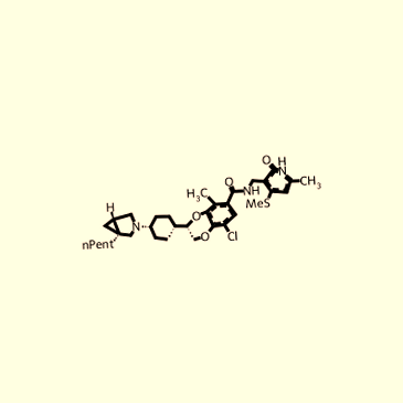 CCCCC[C@]12C[C@@H]1CN([C@H]1CC[C@@H]([C@H]3COc4c(Cl)cc(C(=O)NCc5c(SC)cc(C)[nH]c5=O)c(C)c4O3)CC1)C2